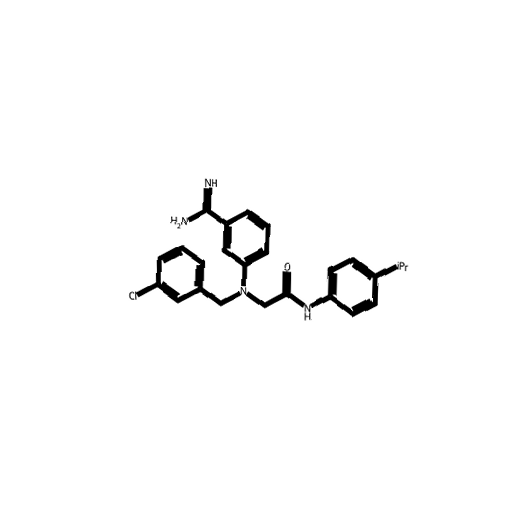 CC(C)c1ccc(NC(=O)CN(Cc2cccc(Cl)c2)c2cccc(C(=N)N)c2)cc1